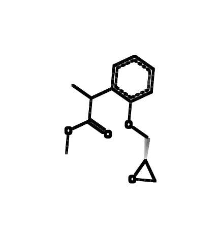 COC(=O)C(C)c1ccccc1OC[C@@H]1CO1